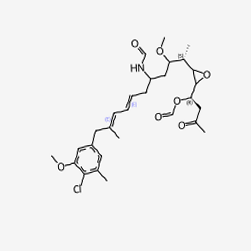 COc1cc(C/C(C)=C/C=C/CC(CC(OC)[C@H](C)C2OC2[C@@H](CC(C)=O)OC=O)NC=O)cc(C)c1Cl